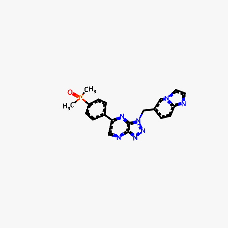 CP(C)(=O)c1ccc(-c2cnc3nnn(Cc4ccc5nccn5c4)c3n2)cc1